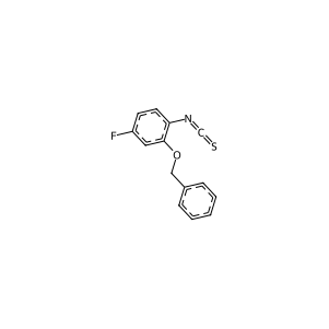 Fc1ccc(N=C=S)c(OCc2ccccc2)c1